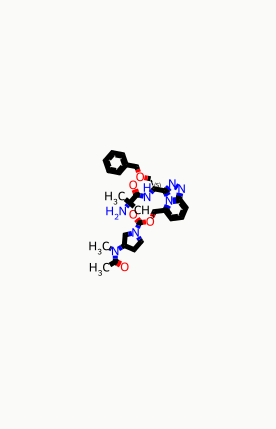 CC(=O)N(C)C1CCN(C(=O)OCc2cccc3nnc([C@@H](COCc4ccccc4)NC(=O)C(C)(C)N)n23)C1